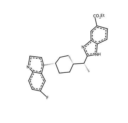 CCOC(=O)c1ccc2[nH]c([C@H](C)[C@H]3CC[C@@H](c4ccnc5ccc(F)cc54)CC3)nc2c1